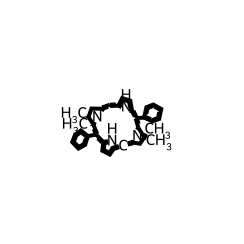 CC1(C)Cc2cc3ccc([nH]3)c(-c3ccccc3)c3nc(cc4ccc([nH]4)c(-c4ccccc4)c1n2)CC3(C)C